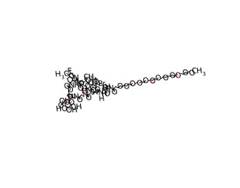 CC[C@@]1(O)C(=O)OCc2c1cc1n(c2=O)Cc2c-1nc1cc(F)c(C)c3c1c2[C@@H](NC(=O)OCc1ccc(O[C@@H]2O[C@H](C(=O)O)[C@@H](O)[C@H](O)[C@H]2O)c(CNC(=O)CCNC(=O)[C@H](CCCC(=O)N[C@H]2CO[C@H]4[C@@H]2OC[C@@H]4NC(=O)CCOCCOCCOCCOCCOCCOCCOCCOCCOCCOCCOCCOC)NC(=O)CCNC(=O)CBr)c1)CC3